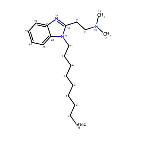 CCCCCCCCCCCCCCCCCCn1c(CCN(C)C)nc2ccccc21